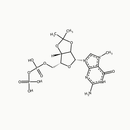 C[n+]1cn([C@@H]2O[C@H](COP(=O)(O)OP(=O)(O)O)[C@@H]3OC(C)(C)OC32)c2nc(N)[nH]c(=O)c21